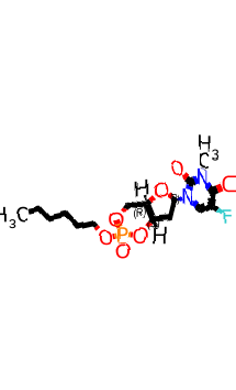 CCCCCCOP1(=O)OC[C@H]2O[C@@H](n3cc(F)c(=O)n(C)c3=O)C[C@@H]2O1